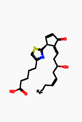 CC/C=C\C[C@H](O)C/C=C1/C(=O)C=C[C@@H]1c1nc(CCCCC(=O)O)cs1